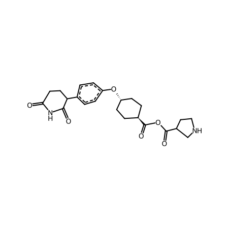 O=C1CCC(c2ccc(O[C@H]3CC[C@H](C(=O)OC(=O)C4CCNC4)CC3)cc2)C(=O)N1